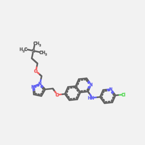 C[Si](C)(C)CCOCn1nccc1COc1ccc2c(Nc3ccc(Cl)nc3)nccc2c1